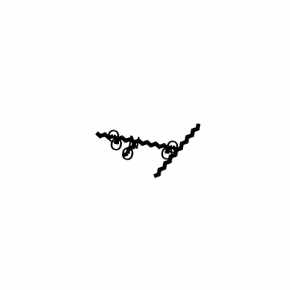 CCCCCCCCC(CCCCCCCC)OC(=O)CCCCCCCN(CCCC(=O)OCCCC)CCOC